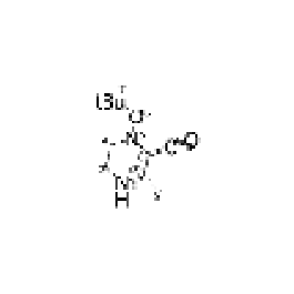 C[C@@H]1NCCN(OC(C)(C)C)C1=C=O